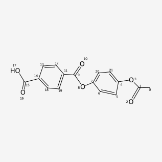 CC(=O)Oc1ccc(OC(=O)c2ccc(C(=O)O)cc2)cc1